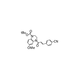 COc1ccc2c(c1)N(C(=O)C=Cc1ccc(C#N)cc1)CCN2C(=O)OC(C)(C)C